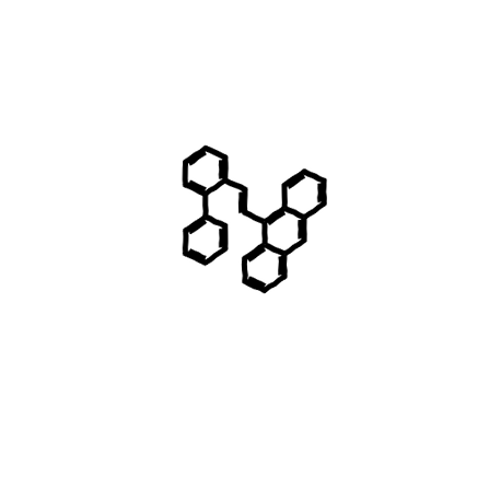 C(=C\c1c2ccccc2cc2ccccc12)/c1ccccc1-c1ccccc1